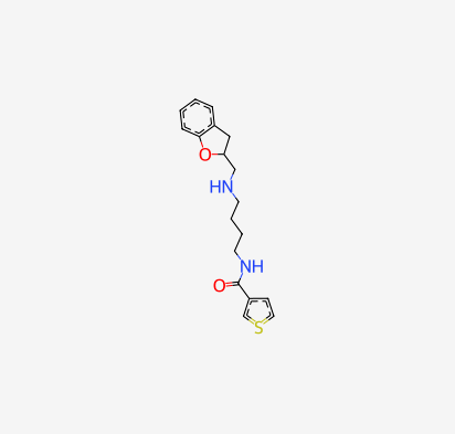 O=C(NCCCCNCC1Cc2ccccc2O1)c1ccsc1